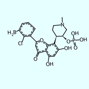 Bc1cccc(-c2cc(=O)c3c(O)cc(O)c([C@H]4CCN(C)C[C@H]4OP(=O)(O)O)c3o2)c1Cl